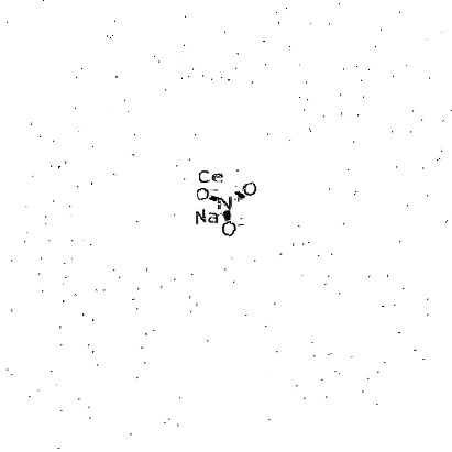 O=[N+]([O-])[O-].[Ce].[Na+]